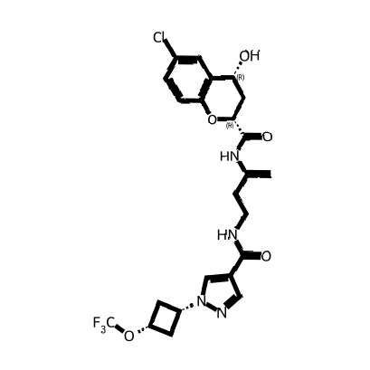 C=C(CCNC(=O)c1cnn([C@H]2C[C@@H](OC(F)(F)F)C2)c1)NC(=O)[C@H]1C[C@@H](O)c2cc(Cl)ccc2O1